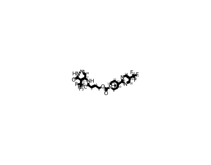 C[C@H](/C=C/COC(=O)N1CC2CCC1CN2c1ncc(C(F)(F)F)cn1)Nc1cn[nH]c(=O)c1C(F)(F)F